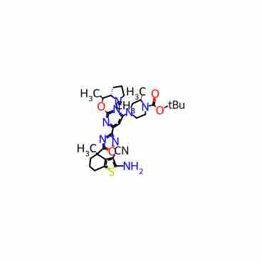 C[C@H](Oc1nc(-c2noc([C@@]3(C)CCCc4sc(N)c(C#N)c43)n2)cc(N2CCN(C(=O)OC(C)(C)C)[C@@H](C)C2)n1)[C@@H]1CCCN1C